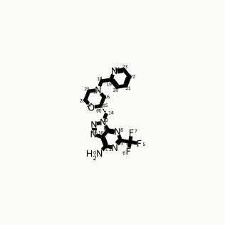 Nc1nc(C(F)(F)F)nc2c1nnn2C[C@H]1CN(Cc2ccccn2)CCO1